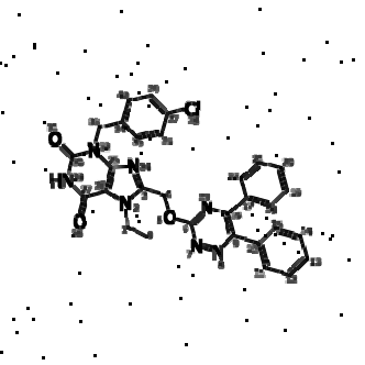 CCn1c(COc2nnc(-c3ccccc3)c(-c3ccccc3)n2)nc2c1c(=O)[nH]c(=O)n2Cc1ccc(Cl)cc1